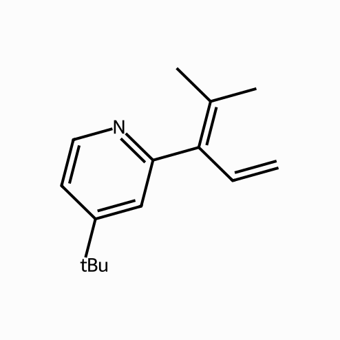 C=CC(=C(C)C)c1cc(C(C)(C)C)ccn1